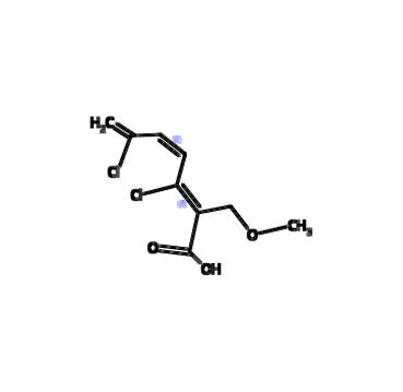 C=C(Cl)/C=C\C(Cl)=C(/COC)C(=O)O